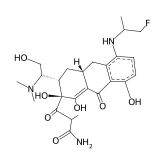 CC(CF)Nc1ccc(O)c2c1C[C@H]1C[C@@H](C(CO)N(C)C)[C@@](O)(C(=O)C(C)C(N)=O)C(O)=C1C2=O